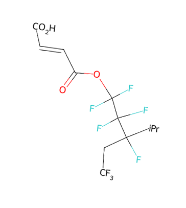 CC(C)C(F)(CC(F)(F)F)C(F)(F)C(F)(F)OC(=O)C=CC(=O)O